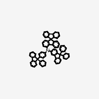 c1ccc(C2(c3ccc(N(c4ccc5c(c4)-c4ccccc4C5(c4ccccc4)c4ccccc4)c4cccc5c4-c4ccccc4C54c5ccccc5-c5ccccc54)cc3)c3ccccc3-c3ccccc32)cc1